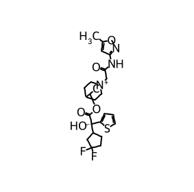 Cc1cc(NC(=O)C[N+]23CCC(CC2)C(OC(=O)[C@@](O)(c2cccs2)C2CCC(F)(F)C2)C3)no1